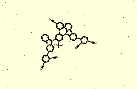 N#Cc1cccc(-c2cc(-n3c4ccccc4c4cc(-c5ccc(C#N)cc5C#N)ccc43)c(C(F)(F)F)cc2-n2c3ccccc3c3cc(-c4ccc(C#N)cc4C#N)ccc32)c1